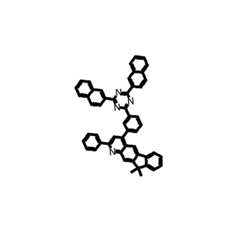 CC1(C)c2ccccc2-c2cc3c(-c4cccc(-c5nc(-c6ccc7ccccc7c6)nc(-c6ccc7ccccc7c6)n5)c4)cc(-c4ccccc4)nc3cc21